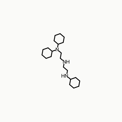 C1CCC(NCCNCCN(C2CCCCC2)C2CCCCC2)CC1